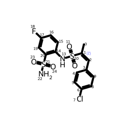 C/C(=C/c1ccc(Cl)cc1)S(=O)(=O)Nc1ccc(F)cc1S(N)(=O)=O